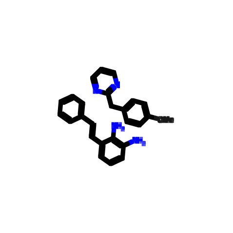 COc1ccc(Cc2ncccn2)cc1.Nc1cccc(C=Cc2ccccc2)c1N